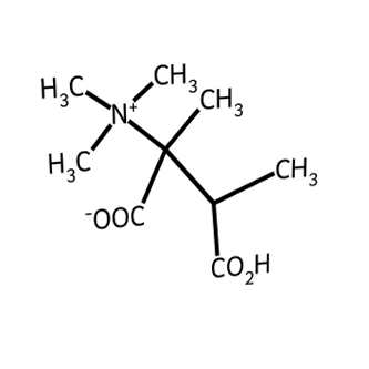 CC(C(=O)O)C(C)(C(=O)[O-])[N+](C)(C)C